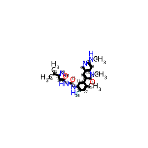 CNc1cc2c(cn1)cc(-c1cc(NC(=O)Nc3cc(C(C)C)no3)c(F)cc1C)c(=O)n2C